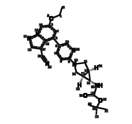 CCOc1cc(-c2ccc(N3C[C@@H]4[C@H](C3)[C@H]4NC(=O)OC(C)(C)C)nc2)c2c(C#N)cnn2c1